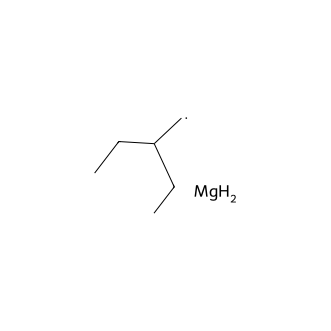 [CH2]C(CC)CC.[MgH2]